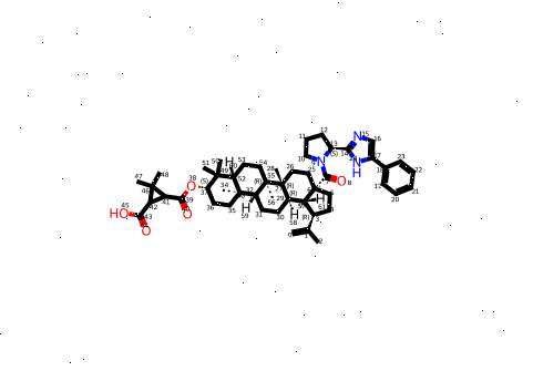 C=C(C)[C@@H]1CC[C@]2(C(=O)N3CCC[C@H]3c3ncc(-c4ccccc4)[nH]3)CC[C@]3(C)[C@H](CC[C@@H]4[C@@]5(C)CC[C@H](OC(=O)C6C(C(=O)O)C6(C)C)C(C)(C)[C@@H]5CC[C@]43C)[C@@H]12